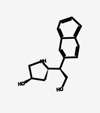 OC[C@H](c1ccc2ccccc2c1)[C@@H]1C[C@@H](O)CN1